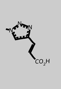 Cn1cc(/C=C/C(=O)O)nn1